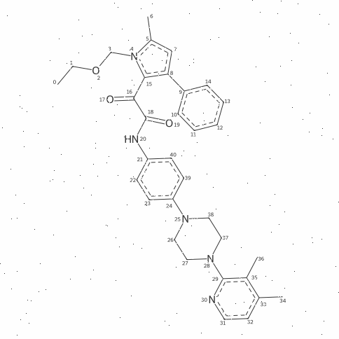 CCOCn1c(C)cc(-c2ccccc2)c1C(=O)C(=O)Nc1ccc(N2CCN(c3nccc(C)c3C)CC2)cc1